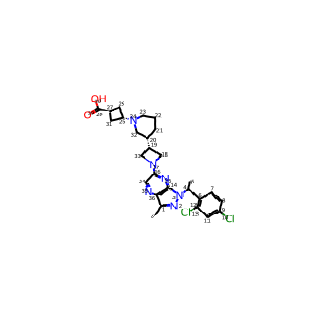 Cc1nn(C(C)c2ccc(Cl)cc2Cl)c2nc(N3CC([C@H]4CCCN([C@H]5C[C@H](C(=O)O)C5)C4)C3)cnc12